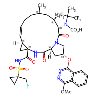 COc1nnc(O[C@@H]2C[C@H]3C(=O)N[C@]4(C(=O)NS(=O)(=O)C5(CF)CC5)C[C@H]4C=CCC[C@@H](C)C[C@@H](C)[C@H](N(C(=O)O)C(C)(C)C(F)(F)F)C(=O)N3C2)c2ccccc12